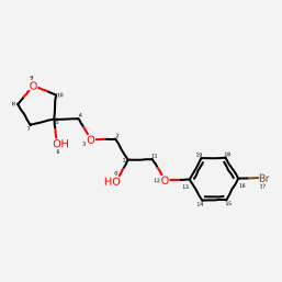 OC(COCC1(O)CCOC1)COc1ccc(Br)cc1